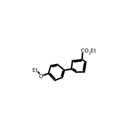 CCOC(=O)c1cccc(-c2ccc(OCC)cc2)c1